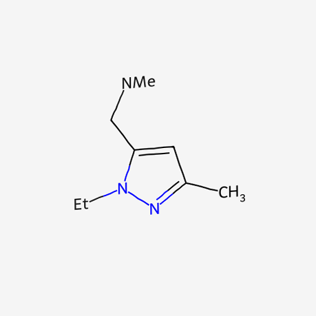 CCn1nc(C)cc1CNC